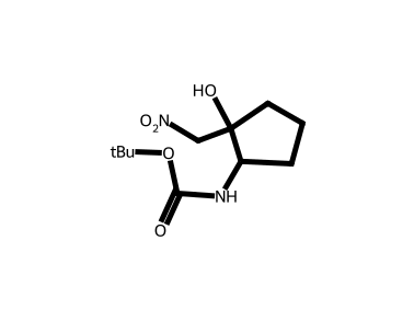 CC(C)(C)OC(=O)NC1CCCC1(O)C[N+](=O)[O-]